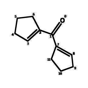 O=C(C1=CCCC1)C1=CCCC1